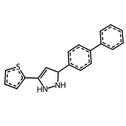 C1=C(c2cccs2)NNC1c1ccc(-c2ccccc2)cc1